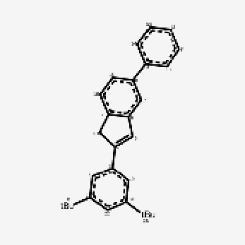 CC(C)(C)c1cc(C2=Cc3cc(-c4ccccc4)ccc3C2)cc(C(C)(C)C)c1